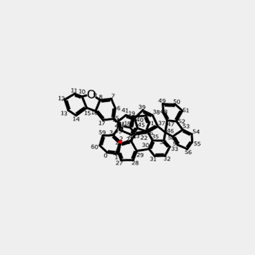 c1ccc(N(c2ccc3oc4ccccc4c3c2)c2ccccc2-c2ccccc2-c2cccc3c2-c2c(ccc4ccccc24)C32c3ccccc3-c3ccccc32)cc1